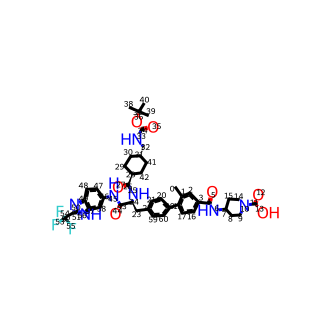 Cc1cc(C(=O)NC2CCN(C(=O)O)CC2)ccc1-c1ccc(C[C@H](NC(=O)[C@H]2CC[C@H](CNC(=O)OC(C)(C)C)CC2)C(=O)Nc2ccc3nc(C(F)(F)F)[nH]c3c2)cc1